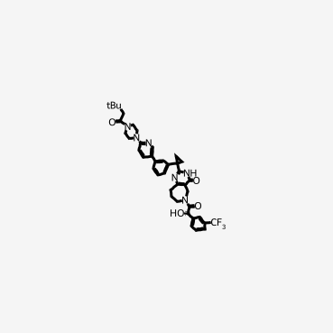 CC(C)(C)CC(=O)N1CCN(c2ccc(-c3cccc(C4(c5nc6c(c(=O)[nH]5)CN(C(=O)[C@H](O)c5cccc(C(F)(F)F)c5)CCC6)CC4)c3)cn2)CC1